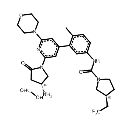 Cc1ccc(NC(=O)N2CC[C@@H](CC(F)(F)F)C2)cc1-c1cc(N2CCOCC2)nc(N2C[C@H](N)CC2=O)c1.O=CO